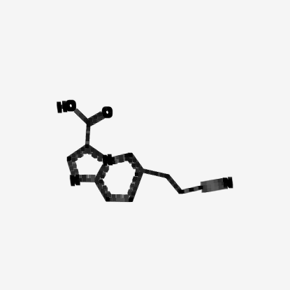 N#CCCc1ccc2ncc(C(=O)O)n2c1